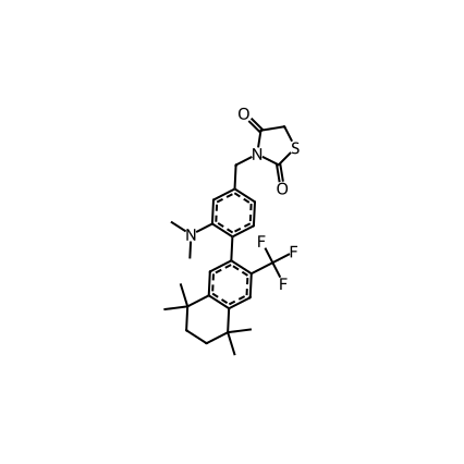 CN(C)c1cc(CN2C(=O)CSC2=O)ccc1-c1cc2c(cc1C(F)(F)F)C(C)(C)CCC2(C)C